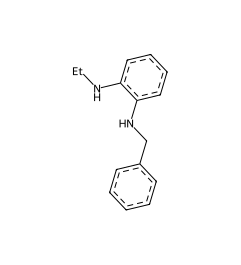 CCNc1ccccc1NCc1ccccc1